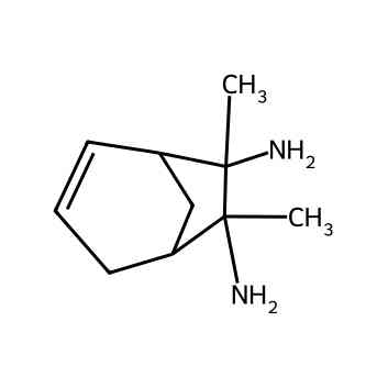 CC1(N)C2C=CCC(C2)C1(C)N